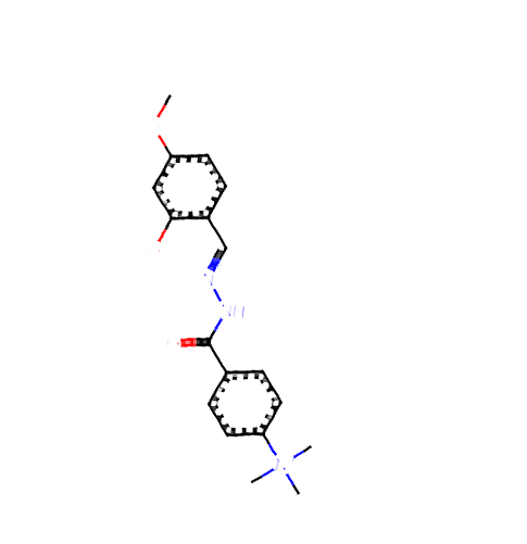 COc1ccc(/C=N/NC(=O)c2ccc([N+](C)(C)C)cc2)c(O)c1